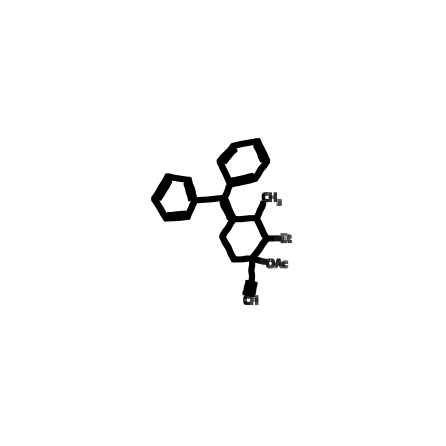 C#CC1(OC(C)=O)CCC(=C(c2ccccc2)c2ccccc2)C(C)C1CC